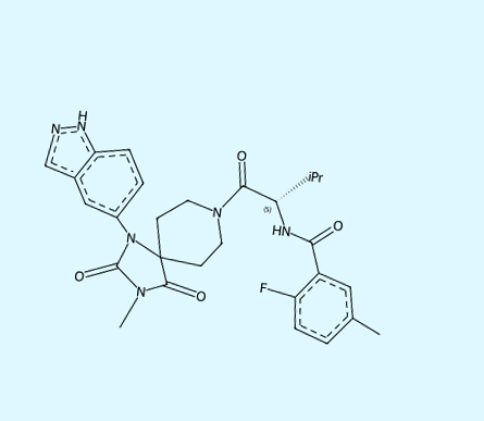 Cc1ccc(F)c(C(=O)N[C@H](C(=O)N2CCC3(CC2)C(=O)N(C)C(=O)N3c2ccc3[nH]ncc3c2)C(C)C)c1